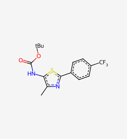 Cc1nc(-c2ccc(C(F)(F)F)cc2)sc1NC(=O)OC(C)(C)C